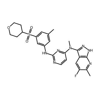 Cc1cc(Nc2nccc(N(C)c3n[nH]c4nc(C)c(F)cc34)n2)cc(S(=O)(=O)C2CCOCC2)c1